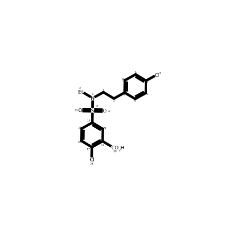 CCN(CCc1ccc(Cl)cc1)S(=O)(=O)c1ccc(Cl)c(C(=O)O)c1